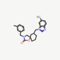 Cc1cccc(CN2CC3(CCCC(Cn4cnc5ccc(C#N)cc54)C3)OC2=O)c1